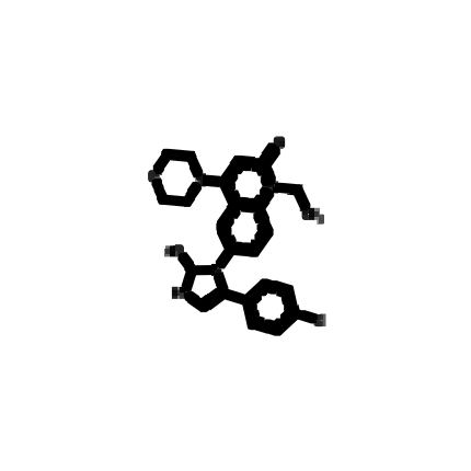 CCn1c(=O)cc(N2CCOCC2)c2cc(N3C(c4ccc(Cl)cc4)=CNC3O)ccc21